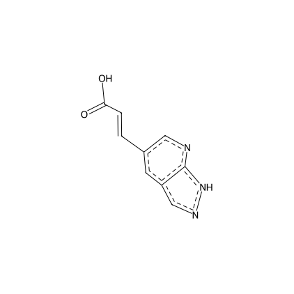 O=C(O)C=Cc1cnc2[nH]ncc2c1